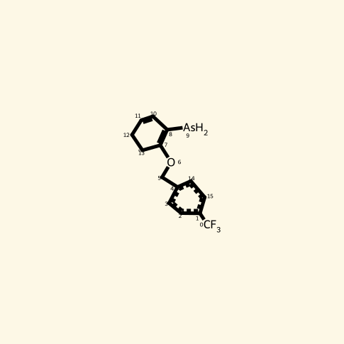 FC(F)(F)c1ccc(COC2=C([AsH2])C=CC[CH]2)cc1